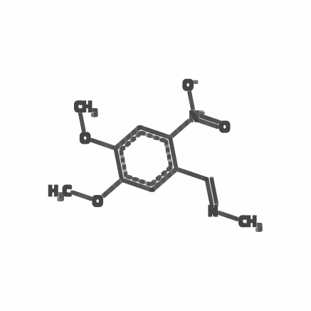 C/N=C/c1cc(OC)c(OC)cc1[N+](=O)[O-]